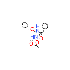 CC(C)OC([C]=O)NC(=O)[C@H](Cc1ccccc1)NCOCc1ccccc1